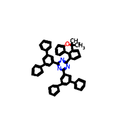 CC1(C)Oc2ccccc2-c2c(-c3nc(-c4cc(-c5ccccc5)cc(-c5ccccc5)c4)nc(-c4cc(-c5ccccc5)cc(-c5ccccc5)c4)n3)cccc21